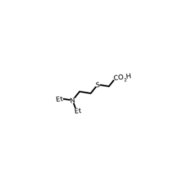 CCN(CC)CCSCC(=O)O